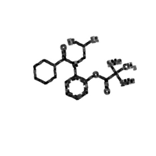 CCC(CC)CN(C(=O)C1CCCCC1)c1ccccc1OC(=O)C(C)(SC)SC